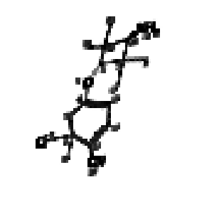 CC1(Cl)CC(O[C@H]2C(C)(C)[C@H](N)C2(C)C)=CC=C1C#N